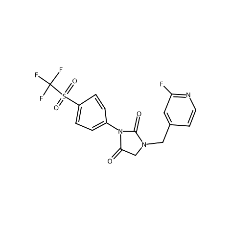 O=C1CN(Cc2ccnc(F)c2)C(=O)N1c1ccc(S(=O)(=O)C(F)(F)F)cc1